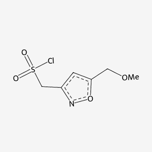 COCc1cc(CS(=O)(=O)Cl)no1